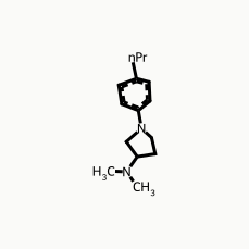 CCCc1ccc(N2CCC(N(C)C)C2)cc1